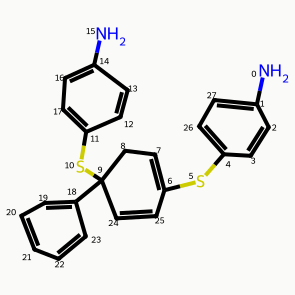 Nc1ccc(SC2=CCC(Sc3ccc(N)cc3)(c3ccccc3)C=C2)cc1